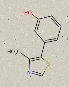 O=C(O)c1ncsc1-c1cccc(O)c1